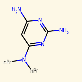 CCCN(CCC)c1cc(N)nc(N)n1